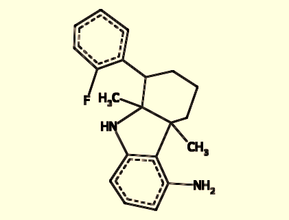 CC12CCCC(c3ccccc3F)C1(C)Nc1cccc(N)c12